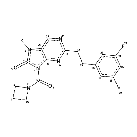 Cn1c(=O)n(C(=O)N2CCC2)c2nc(CCc3cc(F)cc(F)c3)ncc21